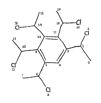 CC(Cl)c1cc(C(C)Cl)c(C(C)Cl)c(C(C)Cl)c1C(C)Cl